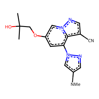 CNc1cnn(-c2cc(OCC(C)(C)O)cn3ncc(C#N)c23)c1